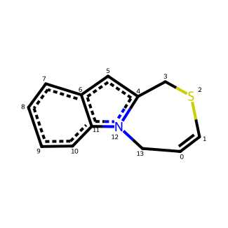 C1=CSCc2cc3ccccc3n2C1